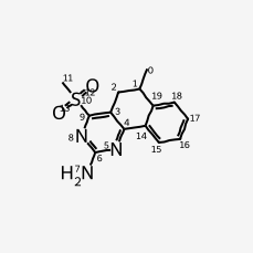 CC1Cc2c(nc(N)nc2S(C)(=O)=O)-c2ccccc21